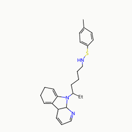 CCC(CCCCNSc1ccc(C)cc1)N1C2=CCCC=C2C2C=CC=NC21